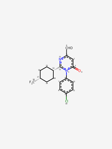 O=Cc1cc(=O)n(-c2ccc(Cl)cc2)c([C@H]2CC[C@@H](C(F)(F)F)CC2)n1